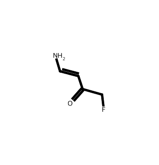 NC=CC(=O)CF